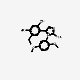 CCc1cc(-c2cnc(N)n2-c2cc(OC)ccc2OC)c(O)cc1O